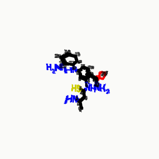 CC(=N)CC(S)Nc1cc(N[C@@H]2CCCC[C@@H]2N)ccc1C(N)=O